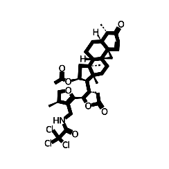 CC(=O)O[C@H]1C[C@@]2(C)[C@@H]3CC[C@H]4[C@H](C)C(=O)C=C[C@@]45C[C@@]35CC[C@]2(C)[C@H]1[C@@H]1CC(=O)O[C@H]1C1=C(CNC(=O)C(Cl)(Cl)Cl)[C@@H](C)CO1